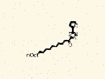 CCCCCCCCC=CCCCCCCCC(=O)c1nnc(-c2ccco2)s1